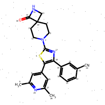 Cc1cc(-c2sc(N3CCC4(CC3)CNC4=O)nc2-c2cccc(C#N)c2)cc(C)n1